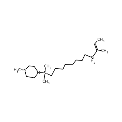 CC=C(C)[SiH2]CCCCCCCC[Si](C)(C)N1CCN(C)CC1